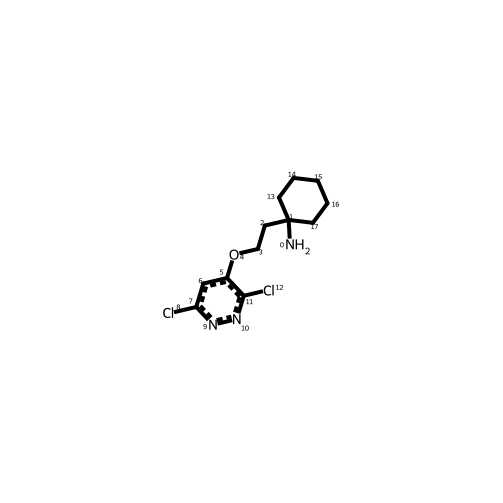 NC1(CCOc2cc(Cl)nnc2Cl)CCCCC1